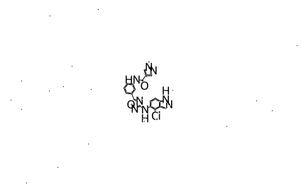 Cn1cc(C(=O)Nc2cccc(-c3nc(Nc4ccc5[nH]ncc5c4Cl)no3)c2)cn1